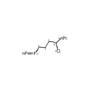 CCCCCCCCC(Cl)CCC